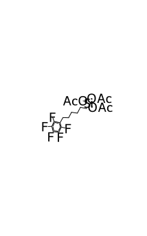 CC(=O)O[Si](CCCCCCc1c(F)c(F)c(F)c(F)c1F)(OC(C)=O)OC(C)=O